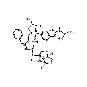 CC[C@]12CC3O[C@H]1OC[C@H]2CC3OC(=O)N[C@@H](Cc1ccccc1)[C@H](O)CN(CC(C)C)S(=O)(=O)c1ccc2nc(NC(C)C)oc2c1